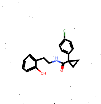 O=C(NCCc1ccccc1O)C1(c2ccc(Cl)cc2)CC1